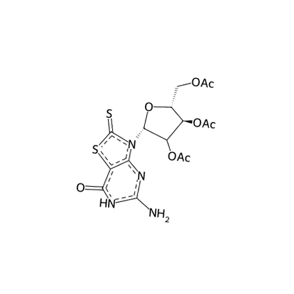 CC(=O)OC[C@H]1O[C@@H](n2c(=S)sc3c(=O)[nH]c(N)nc32)C(OC(C)=O)[C@@H]1OC(C)=O